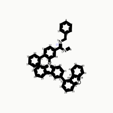 C=N/C(=N\Cc1ccccc1)c1ccc(-c2ccccc2)c(-n2c3ccccc3c3cc(-c4cccc5oc6ccccc6c45)ccc32)c1